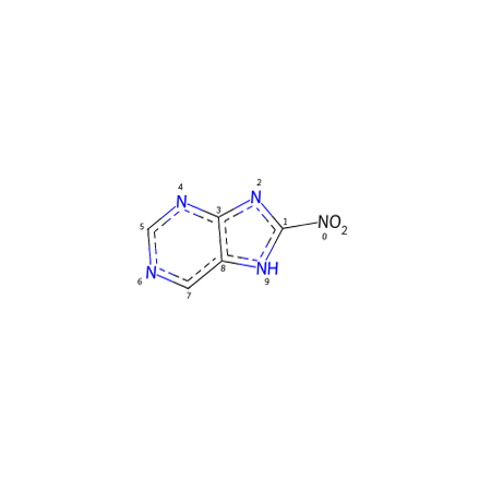 O=[N+]([O-])c1nc2ncncc2[nH]1